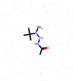 BN(PNC(C)=O)C(C)(C)C